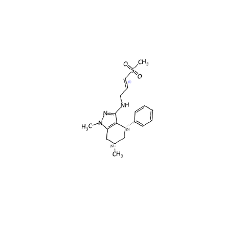 C[C@@H]1Cc2c(c(NC/C=C/S(C)(=O)=O)nn2C)[C@H](c2ccccc2)C1